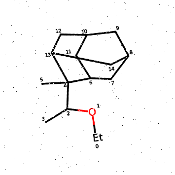 CCOC(C)C1(C)C2CC3CC(C2)CC1C3